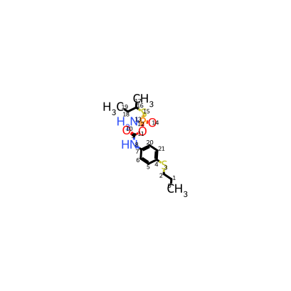 CCCSc1ccc(NC(=O)OP(N)(=O)SC(C)CC)cc1